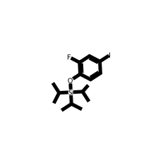 CC(C)[Si](Oc1ccc(I)cc1F)(C(C)C)C(C)C